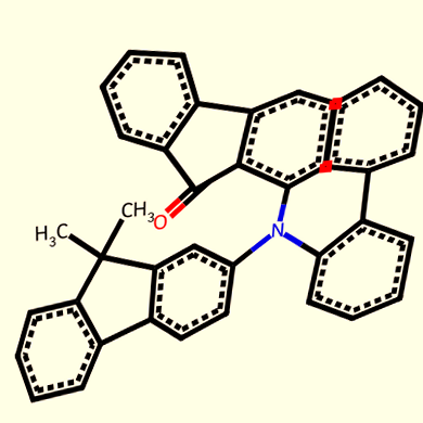 CC1(C)c2ccccc2-c2ccc(N(c3ccccc3-c3ccccc3)c3cccc4c3C(=O)c3ccccc3-4)cc21